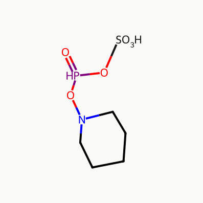 O=[PH](ON1CCCCC1)OS(=O)(=O)O